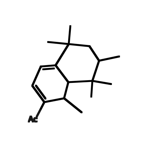 CC(=O)C1=CC=C2C(C1C)C(C)(C)C(C)CC2(C)C